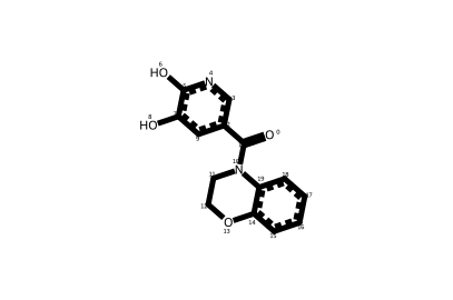 O=C(c1cnc(O)c(O)c1)N1CCOc2ccccc21